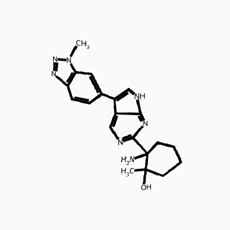 Cn1nnc2ccc(-c3c[nH]c4nc(C5(N)CCCCC5(C)O)ncc34)cc21